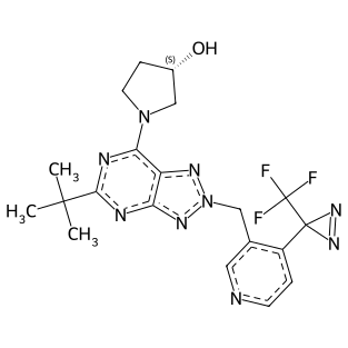 CC(C)(C)c1nc(N2CC[C@H](O)C2)c2nn(Cc3cnccc3C3(C(F)(F)F)N=N3)nc2n1